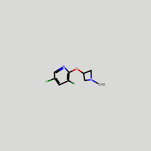 O=CN1CC(Oc2ncc(F)cc2F)C1